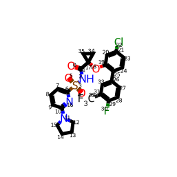 O=C(NS(=O)(=O)c1cccc(N2CCCC2)n1)C1(Oc2cc(Cl)ccc2-c2ccc(F)c(C(F)(F)F)c2)CC1